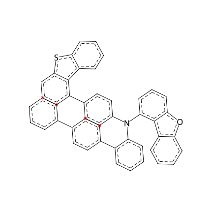 c1ccc(-c2ccc(-c3ccccc3N(c3ccc(-c4cccc5sc6ccccc6c45)cc3)c3cccc4oc5ccccc5c34)cc2)cc1